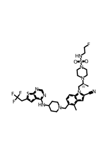 Cc1c(CN2CCC(Nc3ncnc4sc(CC(F)(F)F)cc34)CC2)ccc2c1cc(C#N)n2C[C@H](C)N1CCN(S(=O)(=O)NCCF)CC1